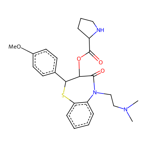 COc1ccc(C2Sc3ccccc3N(CCN(C)C)C(=O)C2OC(=O)C2CCCN2)cc1